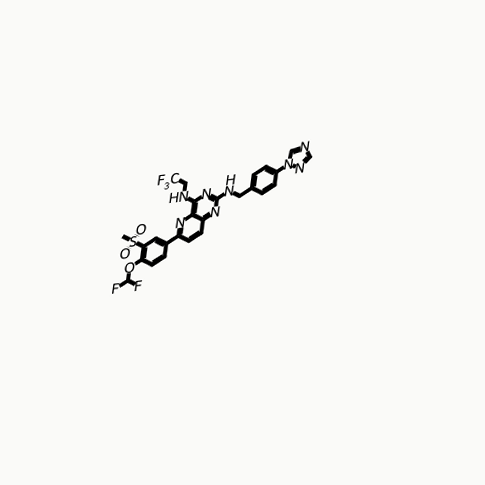 CS(=O)(=O)c1cc(-c2ccc3nc(NCc4ccc(-n5cncn5)cc4)nc(NCC(F)(F)F)c3n2)ccc1OC(F)F